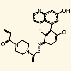 C=CC(=O)N1CCN(C(=C)S/N=C2\CC=C(Cl)C(c3cc(O)cc4ncccc34)=C2F)CC1